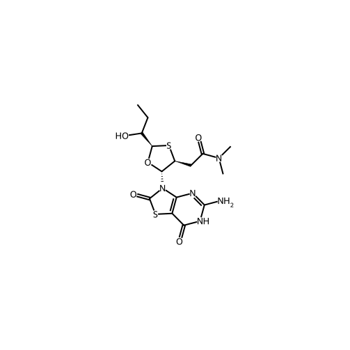 CCC(O)[C@@H]1O[C@@H](n2c(=O)sc3c(=O)[nH]c(N)nc32)[C@H](CC(=O)N(C)C)S1